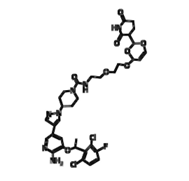 CC(Oc1cc(-c2cnn(C3CCN(C(=O)NCCOCCOC4C=COC(C5CCC(=O)NC5=O)O4)CC3)c2)cnc1N)c1c(Cl)ccc(F)c1Cl